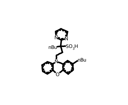 CCCCc1ccc2c(c1)N(CCC(CCCC)(c1ncccn1)S(=O)(=O)O)c1ccccc1O2